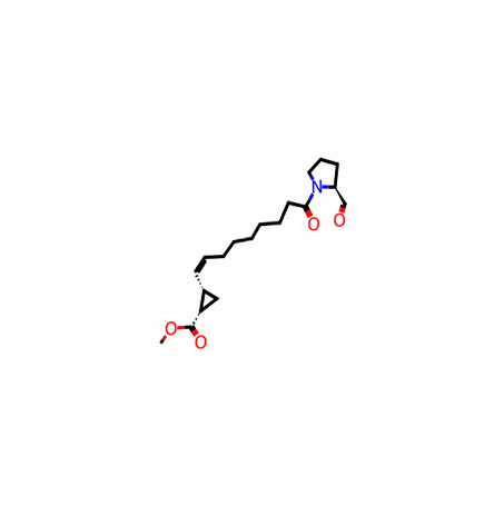 COC(=O)[C@H]1C[C@H]1/C=C\CCCCCCC(=O)N1CCC[C@H]1C=O